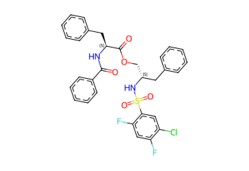 O=C(N[C@@H](Cc1ccccc1)C(=O)OC[C@H](Cc1ccccc1)NS(=O)(=O)c1cc(Cl)c(F)cc1F)c1ccccc1